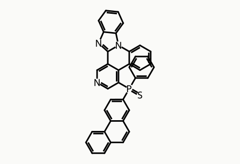 S=P(c1ccccc1)(c1ccc2c(ccc3ccccc32)c1)c1cncc2c1c1ccccc1n1c3ccccc3nc21